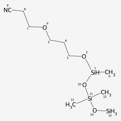 C[SiH](OCCCOCCC#N)O[Si](C)(C)O[SiH3]